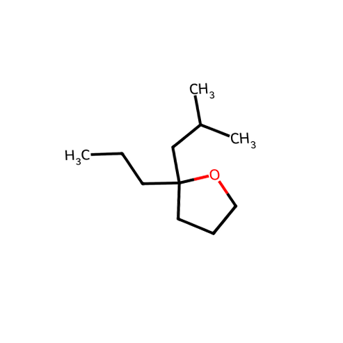 CCCC1(CC(C)C)CCCO1